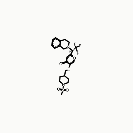 CS(=O)(=O)N1CCC(COc2coc([C@@H](N3CCc4ccccc4C3)C(F)(F)F)cc2=O)CC1